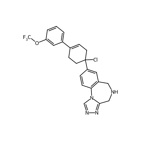 FC(F)(F)Oc1cccc(C2=CCC(Cl)(c3ccc4c(c3)CNCc3nncn3-4)CC2)c1